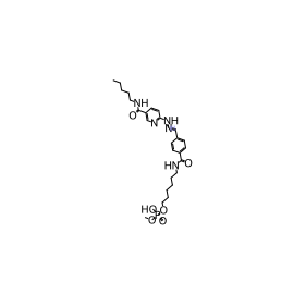 CCCCCNC(=O)c1ccc(N/N=C/c2ccc(C(=O)NCCCCCCOP(=O)(O)OC)cc2)nc1